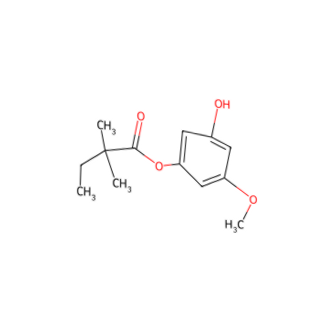 CCC(C)(C)C(=O)Oc1cc(O)cc(OC)c1